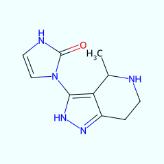 CC1NCCc2n[nH]c(-n3cc[nH]c3=O)c21